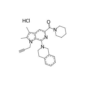 C#CCn1c(C)c(C)c2cc(C(=O)N3CCCCC3)nc(N3CCc4ccccc4C3)c21.Cl